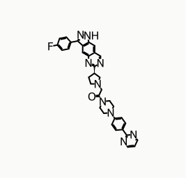 O=C(CN1CC[C@@H](c2ncc3cc4[nH]nc(-c5ccc(F)cc5)c4cc3n2)C1)N1CCN(c2ccc(-c3ncccn3)cc2)CC1